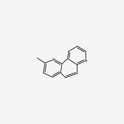 Cc1ccc2ccc3ncccc3c2n1